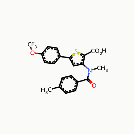 Cc1ccc(C(=O)N(C)c2cc(-c3ccc(OC(F)(F)F)cc3)sc2C(=O)O)cc1